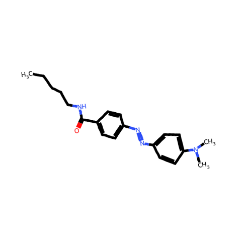 CCCCCNC(=O)c1ccc(/N=N/c2ccc(N(C)C)cc2)cc1